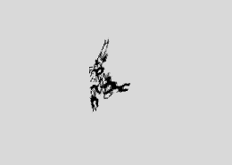 CCC(CC)c1cc2cnc(Nc3ccc(N4CCNCC4)c(C(F)(F)F)c3)nc2n(Cc2cccn2-c2ccncc2)c1=O